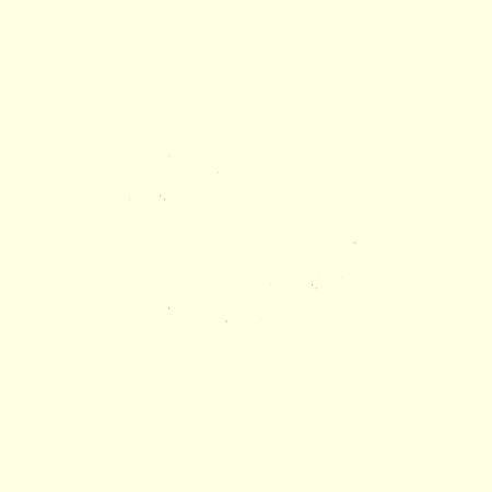 C/C(C=O)=C/C(=C\N(C)C)c1cc2c(c(OC3CCCCC3)c1)NC(=O)CC2